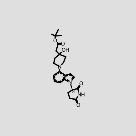 CC(C)(C)OC(=O)CC1(O)CCN(c2cccc3c2ccn3[C@@H]2CCC(=O)NC2=O)CC1